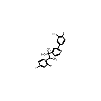 CC(c1ccc(F)cc1Cl)C(O)(c1ccnc(-c2ccc(F)c(C#N)c2)c1)C(F)(F)F